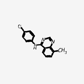 Cc1cccc2c(Nc3ccc(Cl)cc3)ncnc12